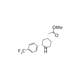 COC(=O)C[C@@H]1CCN[C@H](c2ccc(C(F)(F)F)cc2)C1